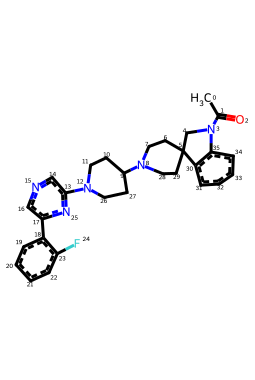 CC(=O)N1CC2(CCN(C3CCN(c4cncc(-c5ccccc5F)n4)CC3)CC2)c2ccccc21